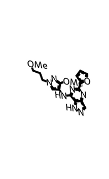 COCCCn1cc(Nc2nc(-c3ccco3)nc3cn[nH]c23)c(OC)n1